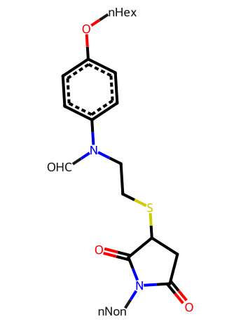 CCCCCCCCCN1C(=O)CC(SCCN(C=O)c2ccc(OCCCCCC)cc2)C1=O